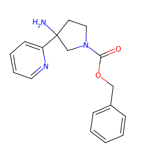 NC1(c2ccccn2)CCN(C(=O)OCc2ccccc2)C1